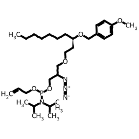 C=CCOP(OCC(COCC[C@@H](CCCCCCC)OCc1ccc(OC)cc1)N=[N+]=[N-])N(C(C)C)C(C)C